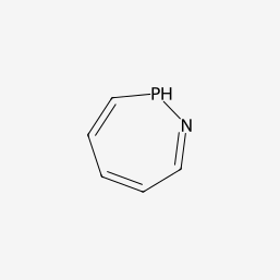 C1=CC=NPC=C1